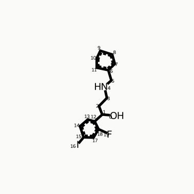 OC(CCNCc1ccccc1)c1ccc(I)cc1F